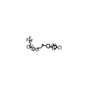 [O-][S+](CCC(F)(F)F)N1CCC(OCCC2CC2C2CCN(c3ncc(Cl)cn3)CC2)C1